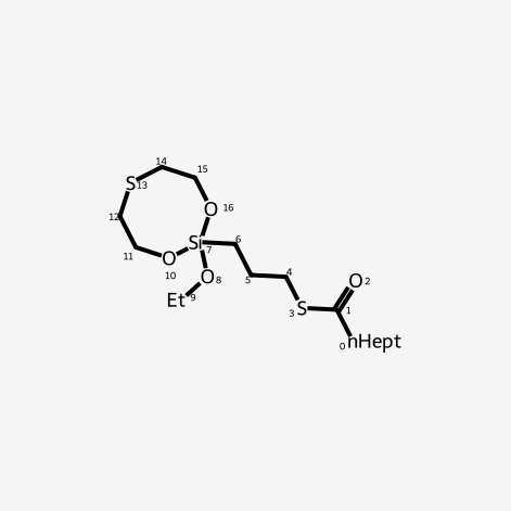 CCCCCCCC(=O)SCCC[Si]1(OCC)OCCSCCO1